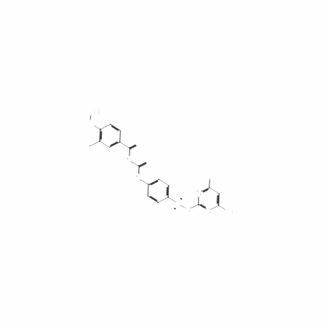 COc1ccc(C(=O)NC(=S)Nc2ccc(S(=O)(=O)Nc3nc(C)cc(C)n3)cc2)cc1I